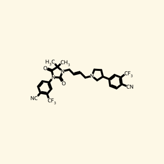 CC1(C)C(=O)N(c2ccc(C#N)c(C(F)(F)F)c2)C(=O)N1C/C=C/CN1CCC(c2ccc(C#N)c(C(F)(F)F)c2)C1